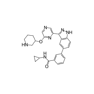 O=C(NC1CC1)c1cccc(-c2ccc3[nH]nc(-c4cncc(OC5CCCNC5)n4)c3c2)c1